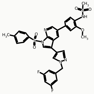 COc1cc(-c2cnc3c(c2)c(-c2cnn(Cc4cc(F)cc(F)c4)c2)cn3S(=O)(=O)c2ccc(C)cc2)ccc1NS(C)(=O)=O